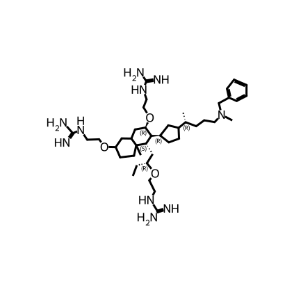 CC[C@H](C[C@H]1C([C@@H]2CCC([C@H](C)CCCN(C)Cc3ccccc3)C2)[C@H](OCCNC(=N)N)CC2CC(OCCNC(=N)N)CCC21C)OCCNC(=N)N